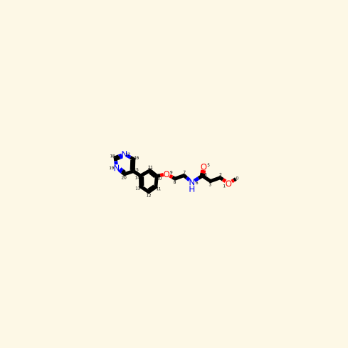 COCCC(=O)NCCOc1c[c]cc(-c2cncnc2)c1